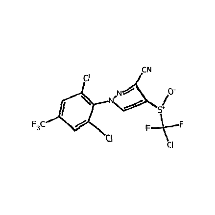 N#Cc1nn(-c2c(Cl)cc(C(F)(F)F)cc2Cl)cc1[S+]([O-])C(F)(F)Cl